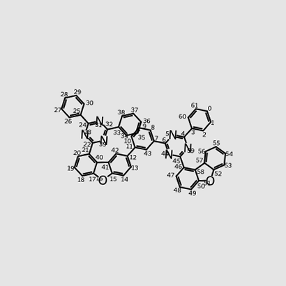 c1ccc(-c2nc(-c3cccc(-c4ccc5oc6cccc(-c7nc(-c8ccccc8)nc(-c8ccccc8)n7)c6c5c4)c3)nc(-c3cccc4oc5ccccc5c34)n2)cc1